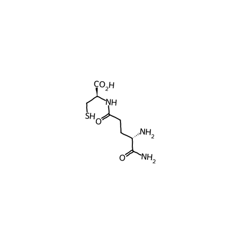 NC(=O)[C@@H](N)CCC(=O)N[C@@H](CS)C(=O)O